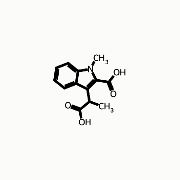 CC(C(=O)O)c1c(C(=O)O)n(C)c2ccccc12